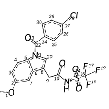 COc1ccc2c(c1)c(CC(=O)NS(=O)(=O)C(F)(F)F)cn2C(=O)c1ccc(Cl)cc1